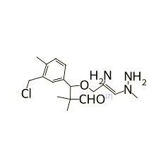 Cc1ccc(C(OC/C(N)=C/N(C)N)C(C)(C)C=O)cc1CCl